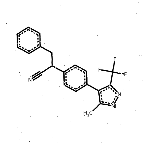 Cc1[nH]nc(C(F)(F)F)c1-c1ccc(C(C#N)Cc2ccccc2)cc1